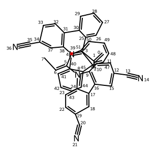 C=C(C)/C(=C\C(=C/C)n1c2ccc(C#N)cc2c2cc(C#N)ccc21)c1ccccc1-c1ccc(C#N)cc1-n1c2ccccc2c2ccccc21